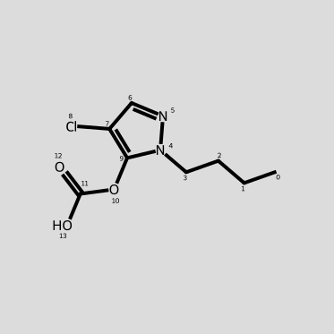 CCCCn1ncc(Cl)c1OC(=O)O